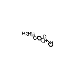 O=C1c2ccc(OCCNO)cc2CCN1Cc1ccccn1